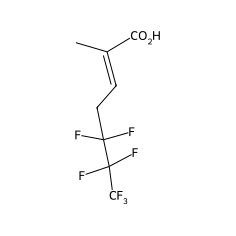 CC(=CCC(F)(F)C(F)(F)C(F)(F)F)C(=O)O